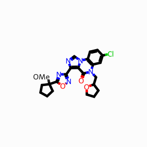 COC1(c2nc(-c3ncn4c3c(=O)n(CC3CCCO3)c3cc(Cl)ccc34)no2)CCCC1